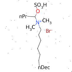 CCCCCCCCCCCCCCCC[N+](C)(C)C(CCC)OS(=O)(=O)O.[Br-]